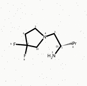 CC(C)[C@H](N)CN1CCC(F)(F)C1